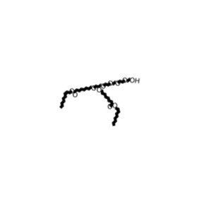 CCCCCC/C=C\COC(=O)CCCCCCCOCC(COCCOCCOCCOCCO)OCCCCCCCC(=O)OC/C=C\CCCCCC